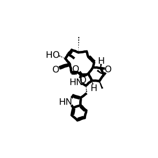 C/C1=C\[C@@H](C)C/C=C/C2[C@@H]3O[C@]3(C)[C@@H](C)[C@H]3[C@H](Cc4c[nH]c5ccccc45)NC(=O)[C@@]23C(=O)/C=C/C(=O)[C@@H]1O